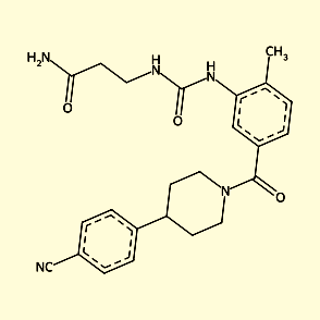 Cc1ccc(C(=O)N2CCC(c3ccc(C#N)cc3)CC2)cc1NC(=O)NCCC(N)=O